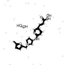 Cc1ccc(CN2CC[C@@H](Nc3ccc(/C=C/C(=O)NO)cn3)C2)o1.Cl.Cl